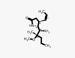 C/C=C\[C@@H]1CC(=O)N[C@H]1[C@@H](N)[C@](C)(CCC)OC